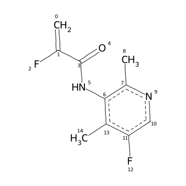 C=C(F)C(=O)Nc1c(C)ncc(F)c1C